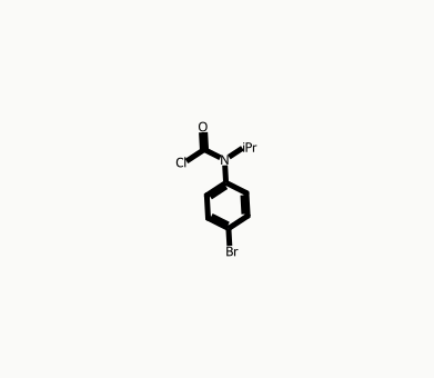 CC(C)N(C(=O)Cl)c1ccc(Br)cc1